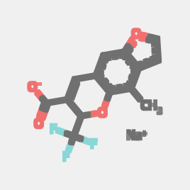 Cc1c2c(cc3occc13)C=C(C(=O)[O-])C(C(F)(F)F)O2.[Na+]